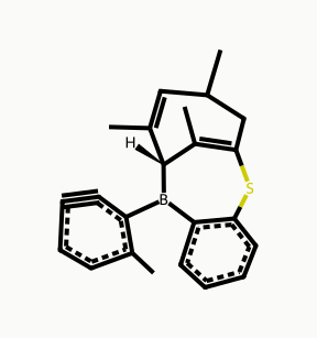 CC1=CC(C)CC2=C(C)[C@@H]1B(c1c#cccc1C)c1ccccc1S2